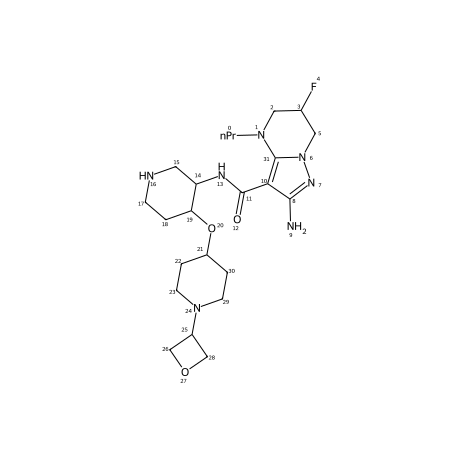 CCCN1CC(F)Cn2nc(N)c(C(=O)NC3CNCCC3OC3CCN(C4COC4)CC3)c21